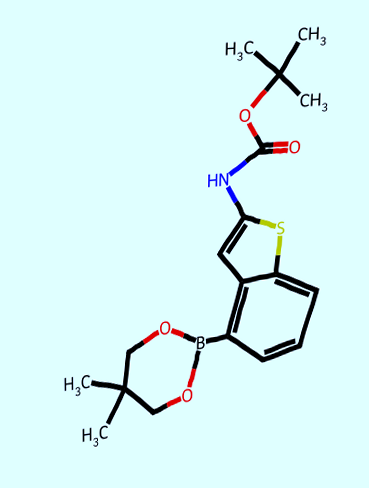 CC1(C)COB(c2cccc3sc(NC(=O)OC(C)(C)C)cc23)OC1